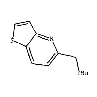 CC(C)(C)Cc1ccc2sccc2n1